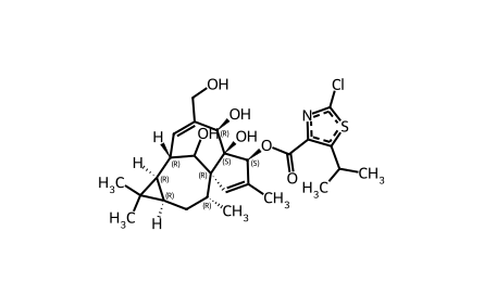 CC1=C[C@]23C(O)[C@@H](C=C(CO)[C@@H](O)[C@]2(O)[C@H]1OC(=O)c1nc(Cl)sc1C(C)C)[C@H]1[C@@H](C[C@H]3C)C1(C)C